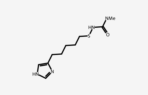 CNC(=O)NSCCCCCc1c[nH]cn1